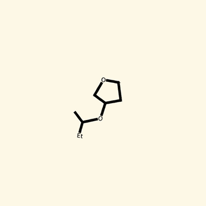 CCC(C)OC1C[CH]OC1